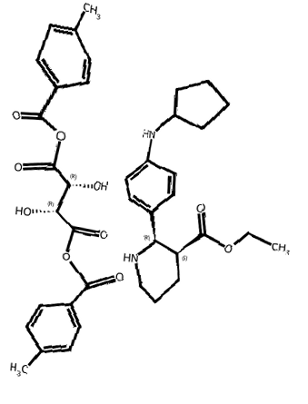 CCOC(=O)[C@H]1CCCN[C@H]1c1ccc(NC2CCCC2)cc1.Cc1ccc(C(=O)OC(=O)[C@H](O)[C@@H](O)C(=O)OC(=O)c2ccc(C)cc2)cc1